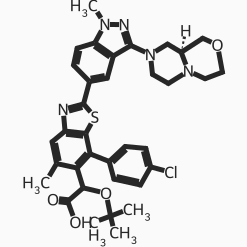 Cc1cc2nc(-c3ccc4c(c3)c(N3CCN5CCOC[C@@H]5C3)nn4C)sc2c(-c2ccc(Cl)cc2)c1C(OC(C)(C)C)C(=O)O